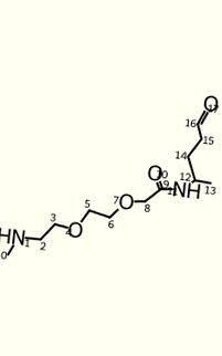 CNCCOCCOCC(=O)NC(C)CCC=O